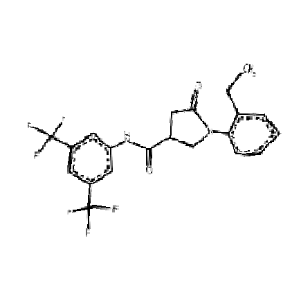 CCc1ccccc1N1CC(C(=O)Nc2cc(C(F)(F)F)cc(C(F)(F)F)c2)CC1=O